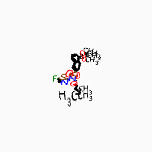 CC1(C)OB(c2cccc3cc(S(=O)(=O)N(COCC[Si](C)(C)C)c4ncc(F)s4)ccc23)OC1(C)C